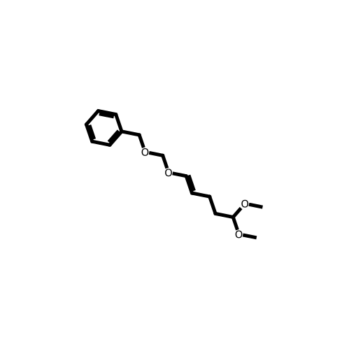 COC(CCC=COCOCc1ccccc1)OC